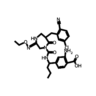 CCCC(NC(=O)N1C/C(=N/OCC)NCC(Cc2cc(Cl)ccc2C#N)C1=O)c1ccc(C(=O)O)c(N)c1